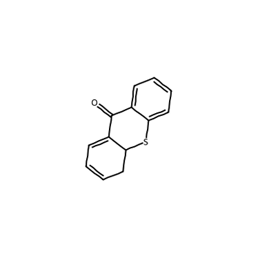 O=C1C2=CC=CCC2Sc2ccccc21